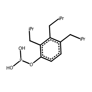 CC(C)Cc1ccc(OP(O)O)c(CC(C)C)c1CC(C)C